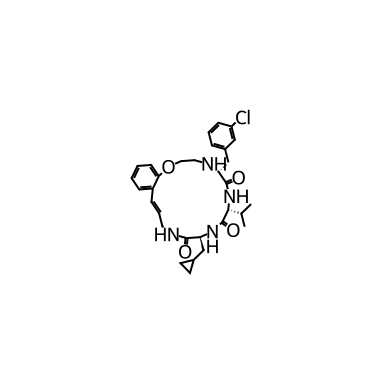 CC(C)[C@H]1NC(=O)[C@@H](Cc2cccc(Cl)c2)NCCOc2ccccc2/C=C/CNC(=O)[C@H](CC2CC2)NC1=O